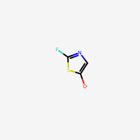 [O]c1cnc(F)s1